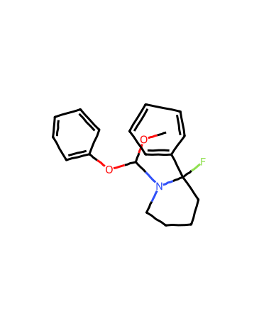 COC(Oc1ccccc1)N1CCCCC1(F)c1ccccc1